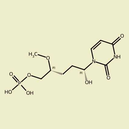 CO[C@H](CC[C@@H](O)n1ccc(=O)[nH]c1=O)COP(=O)(O)O